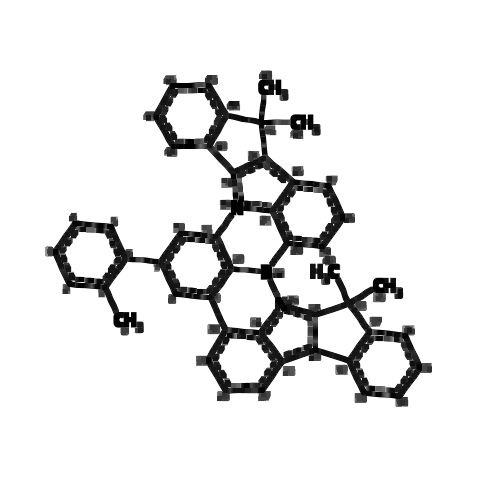 Cc1ccccc1-c1cc2c3c(c1)-n1c4c(c5cccc(c51)B3n1c3c(c5cccc-2c51)-c1ccccc1C3(C)C)C(C)(C)c1ccccc1-4